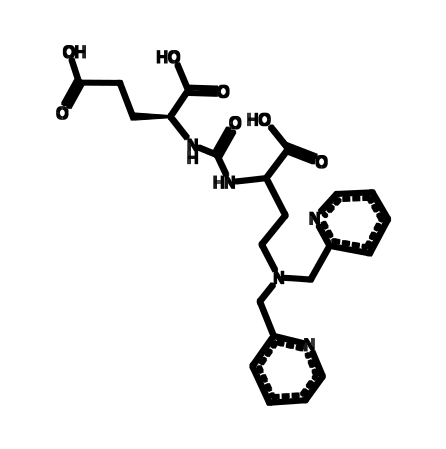 O=C(O)CC[C@H](NC(=O)NC(CCN(Cc1ccccn1)Cc1ccccn1)C(=O)O)C(=O)O